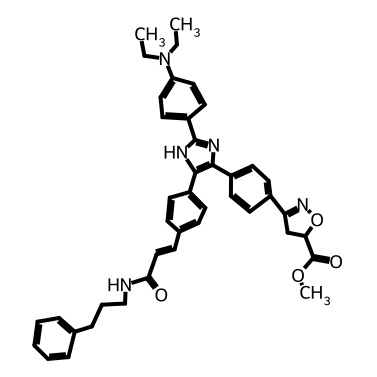 CCN(CC)c1ccc(-c2nc(-c3ccc(C4=NOC(C(=O)OC)C4)cc3)c(-c3ccc(C=CC(=O)NCCCc4ccccc4)cc3)[nH]2)cc1